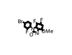 COc1cc(F)c(F)c2c1[N]C(=O)N2c1ccc(Br)cc1F